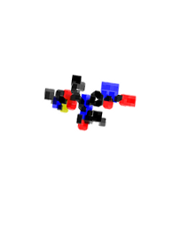 Cc1ncsc1S(=O)(=O)C1C(C)C1c1cc(N2CCOC[C@@H]2C)nc(-c2ccc(NC(=O)NCCO)cc2)n1